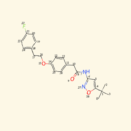 CC(C)(C)c1cc(NC(=O)Cc2ccc(OCCc3ccc(F)cc3)cc2)no1